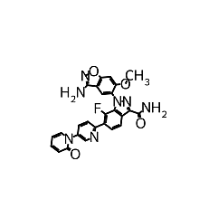 COc1cc2onc(N)c2cc1-n1nc(C(N)=O)c2ccc(-c3ccc(-n4ccccc4=O)cn3)c(F)c21